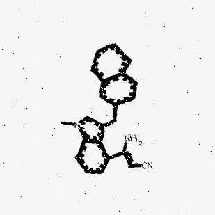 Cn1cc(Cc2ccc3ccccc3c2)c2c(C(N)=CC#N)cccc21